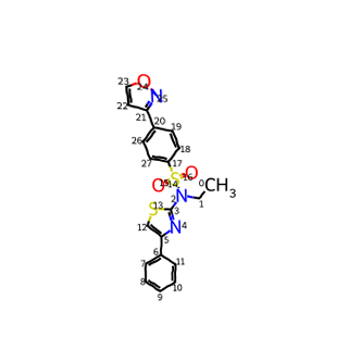 CCN(c1nc(-c2ccccc2)cs1)S(=O)(=O)c1ccc(-c2ccon2)cc1